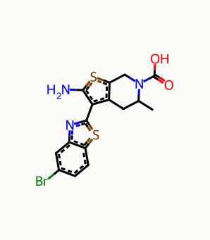 CC1Cc2c(sc(N)c2-c2nc3cc(Br)ccc3s2)CN1C(=O)O